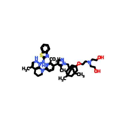 CC1=CNN(Nc2nc3ccccc3s2)C2=C1CCCN2c1ccc(-c2cnn(CC34CC5(C)CC(C)(C3)CC(OCCN(CCO)CCO)(C5)C4)c2C)c(C(=O)O)n1